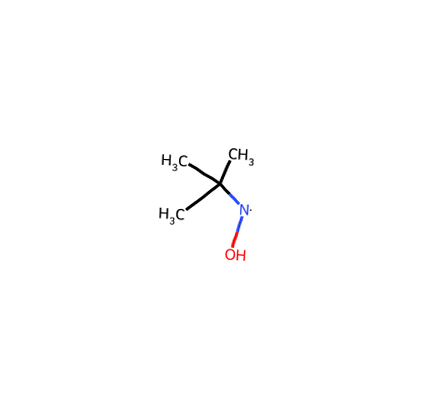 CC(C)(C)[N]O